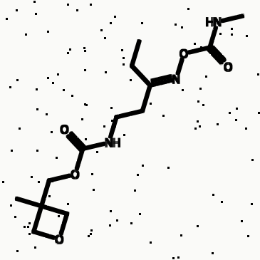 CC/C(CCNC(=O)OCC1(C)COC1)=N\OC(=O)NC